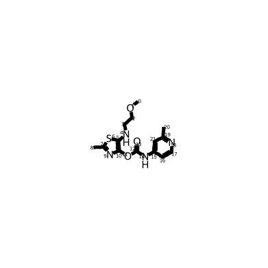 COCCNc1sc(C)nc1OC(=O)Nc1ccnc(C)c1